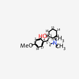 COc1ccc([C@@H](CN(C)C)[Si]2(O)CCCCC2)cc1